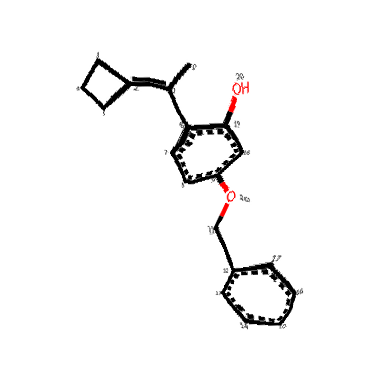 CC(=C1CCC1)c1ccc(OCc2ccccc2)cc1O